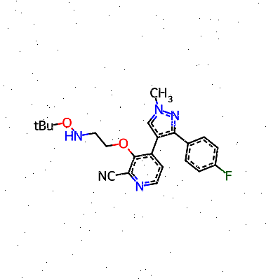 Cn1cc(-c2ccnc(C#N)c2OCCNOC(C)(C)C)c(-c2ccc(F)cc2)n1